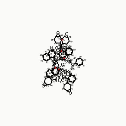 C[Si](C)(CC1CCC2OC2C1)O[Si]1(O[Si](C)(C)CC2CCC3OC3C2)O[Si]2(c3ccccc3)O[Si]3(c4ccccc4)O[Si]4(c5ccccc5)O[Si](O[Si](C)(C)CC5CCC6OC6C5)(O[Si](C)(C)CC5CCC6OC6C5)O[Si]5(c6ccccc6)O[Si](c6ccccc6)(O[Si](c6ccccc6)(O1)O[Si](c1ccccc1)(O5)O[Si](c1ccccc1)(O2)O4)O3